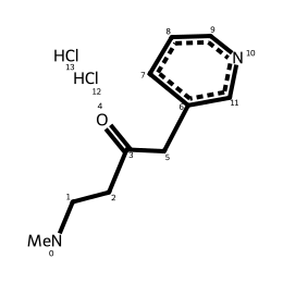 CNCCC(=O)Cc1cccnc1.Cl.Cl